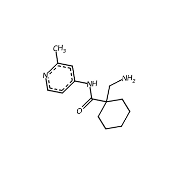 Cc1cc(NC(=O)C2(CN)CCCCC2)ccn1